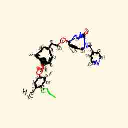 Cc1cc(Oc2ccc(CCOc3ccn(Cc4ccncc4)c(=O)n3)cc2)ccc1Cl